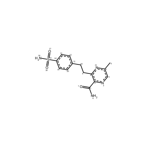 Cc1cnc(C(N)=O)c(CCc2ccc(S(N)(=O)=O)cc2)n1